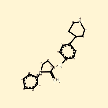 C=C1[C@@H](Oc2ccc(C3CCNCC3)cc2)CCN1c1ccccc1